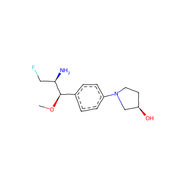 CO[C@H](c1ccc(N2CC[C@@H](O)C2)cc1)[C@H](N)CF